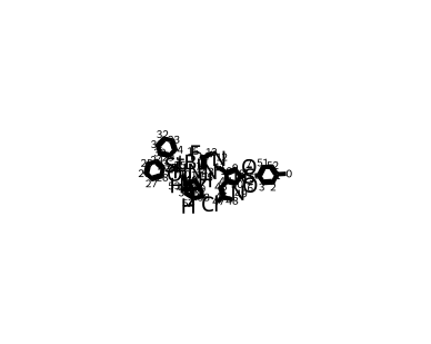 Cc1ccc(S(=O)(=O)n2cc(-c3ncc(F)c(NC4[C@@H](CO[Si](c5ccccc5)(c5ccccc5)C(C)(C)C)C[C@H]5C[C@@H]4C5(C)C)n3)c3cc(Cl)cnc32)cc1